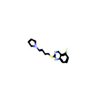 Fc1cccc2c1CN=C(SCCCCN1CCCC1)N2